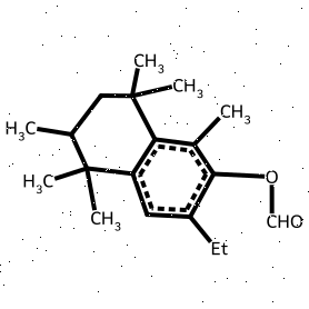 CCc1cc2c(c(C)c1OC=O)C(C)(C)CC(C)C2(C)C